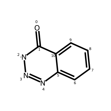 O=C1[N]N=Nc2ccccc21